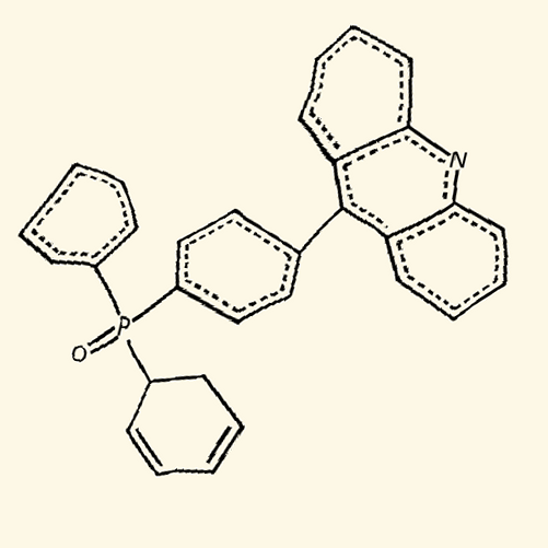 O=P(c1ccccc1)(c1ccc(-c2c3ccccc3nc3ccccc23)cc1)C1C=CC=CC1